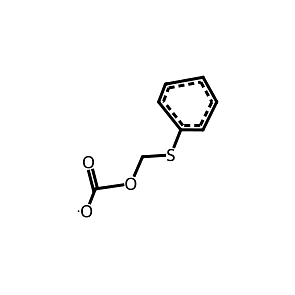 [O]C(=O)OCSc1ccccc1